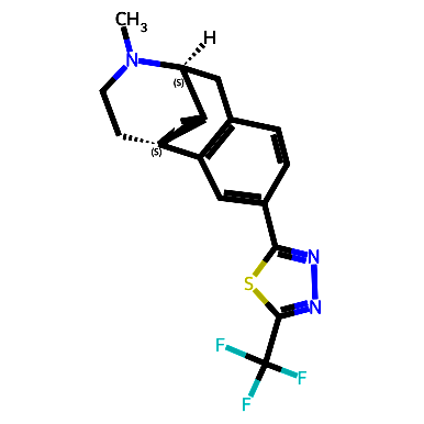 CN1CC[C@@]23CCCCC2[C@@H]1Cc1ccc(-c2nnc(C(F)(F)F)s2)cc13